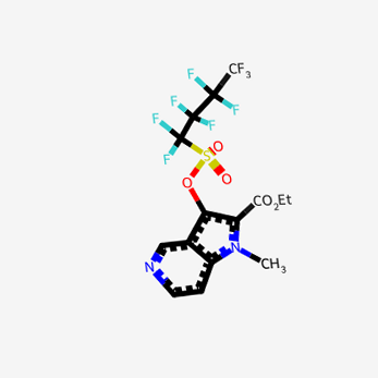 CCOC(=O)c1c(OS(=O)(=O)C(F)(F)C(F)(F)C(F)(F)C(F)(F)F)c2cnccc2n1C